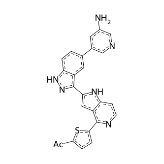 CC(=O)c1ccc(-c2nccc3[nH]c(-c4n[nH]c5ccc(-c6cncc(N)c6)cc45)cc23)s1